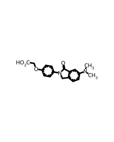 CN(C)c1ccc2c(c1)C(=O)N(c1ccc(OCC(=O)O)cc1)C2